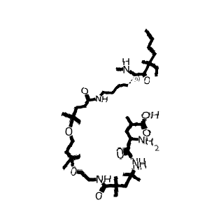 CCCCC(C)(CC)C(=O)[C@H](CCCCNC(=O)CCC(C)(C)OCCC(C)(C)OCCNC(=O)C(C)(C)CC(C)(C)NC(=O)C(N)CC(C)C(=O)O)NC